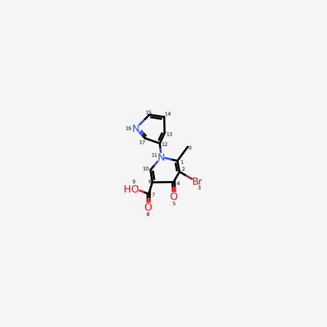 Cc1c(Br)c(=O)c(C(=O)O)cn1-c1cccnc1